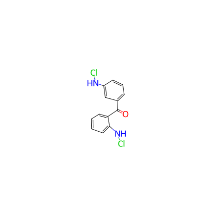 O=C(c1cccc(NCl)c1)c1ccccc1NCl